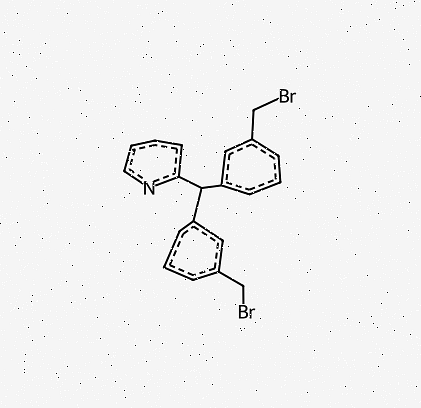 BrCc1cccc(C(c2cccc(CBr)c2)c2ccccn2)c1